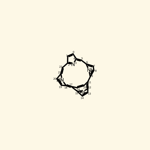 C1=CC2=NC1=Cc1ccc([nH]1)C1=C3C=CC(=N3)C(=c3ccc([nH]3)=C2)C=C1